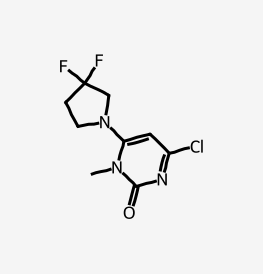 Cn1c(N2CCC(F)(F)C2)cc(Cl)nc1=O